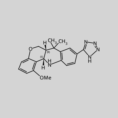 COc1cccc2c1[C@H]1Nc3ccc(-c4nnn[nH]4)cc3C(C)(C)[C@H]1CO2